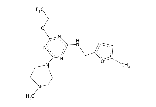 Cc1ccc(CNc2nc(OCC(F)(F)F)nc(N3CCN(C)CC3)n2)o1